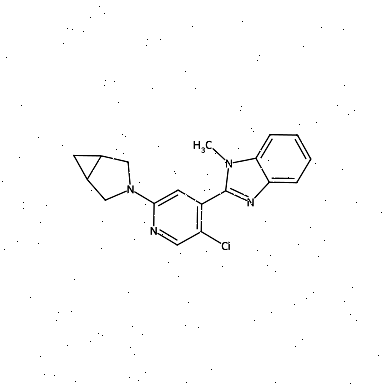 Cn1c(-c2cc(N3CC4CC4C3)ncc2Cl)nc2ccccc21